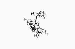 COP(=O)(OC)C(NC(=O)OC(C)(C)C)C(=O)OCCS(C)(C)C